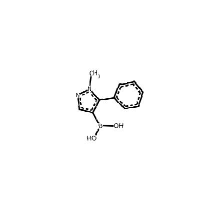 Cn1ncc(B(O)O)c1-c1ccccc1